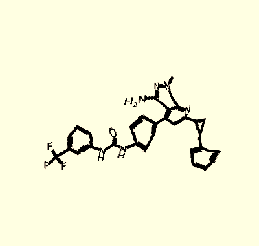 Cn1nc(N)c2c(-c3ccc(NC(=O)Nc4cccc(C(F)(F)F)c4)cc3)cc(C3CC3c3ccccc3)nc21